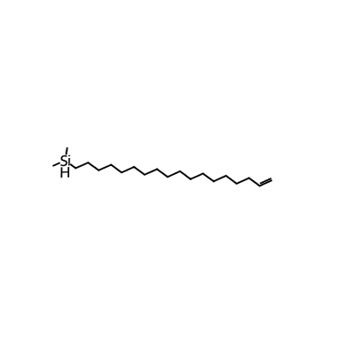 C=CCCCCCCCCCCCCCCCC[SiH](C)C